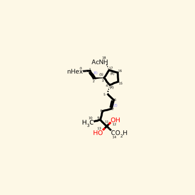 CCCCCC/C=C/[C@@H]1[C@@H](C/C=C\CC(C)C(O)(O)C(=O)O)CC[C@H]1NC(C)=O